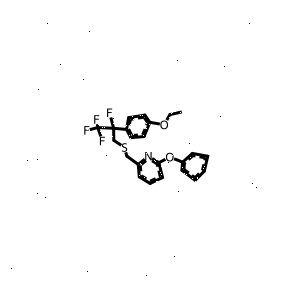 CCOc1ccc(C(F)(CSCc2cccc(Oc3ccccc3)n2)C(F)(F)F)cc1